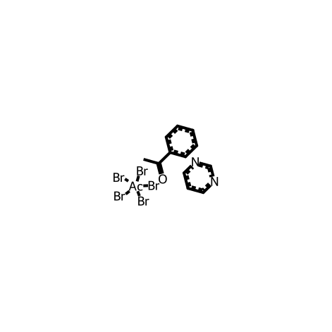 CC(=O)c1ccccc1.[Br][Ac]([Br])([Br])([Br])[Br].c1cncnc1